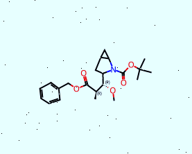 CO[C@@H](C1CC2CC2N1C(=O)OC(C)(C)C)[C@@H](C)C(=O)OCc1ccccc1